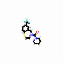 O=C(N1CCCCC1)N1CCSc2ccc(C(F)(F)F)cc2C1